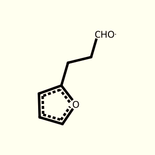 O=[C]CCc1ccco1